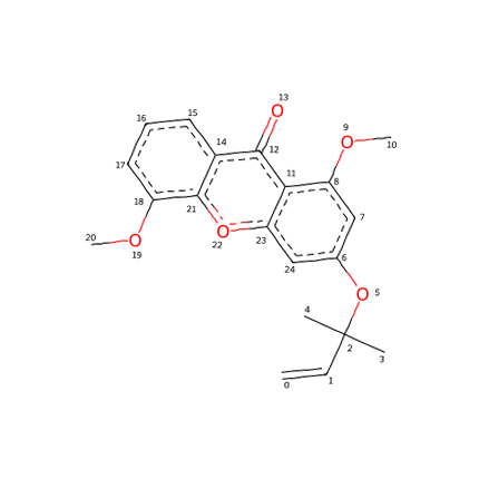 C=CC(C)(C)Oc1cc(OC)c2c(=O)c3cccc(OC)c3oc2c1